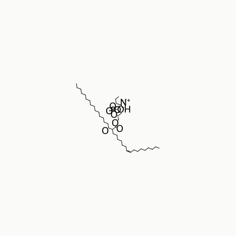 CCCCCCCC/C=C\CCCCCCC(C(=O)CCCCCCCCCCCCCCC)C(=O)OC[C@H](CO)OP(=O)([O-])OC(CC)C[N+](C)(C)C